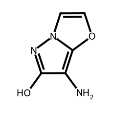 Nc1c(O)nn2ccoc12